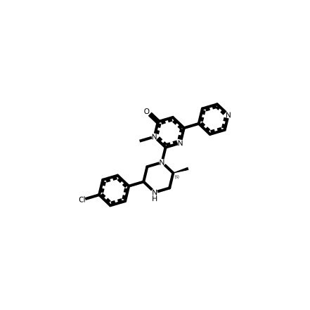 C[C@H]1CNC(c2ccc(Cl)cc2)CN1c1nc(-c2ccncc2)cc(=O)n1C